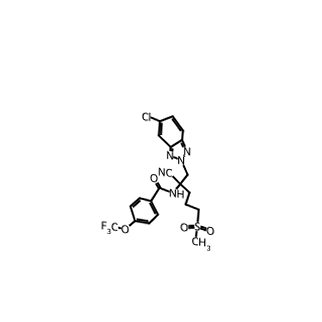 CS(=O)(=O)CCCC(C#N)(Cn1nc2ccc(Cl)cc2n1)NC(=O)c1ccc(OC(F)(F)F)cc1